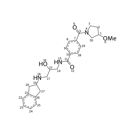 COC1CCN(C(=O)c2ccc(C(=O)NCC(O)CNC3Cc4ccccc4C3)cc2)C1